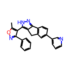 Cc1onc(-c2ccccc2)c1-c1[nH]nc2c1Cc1cc(-c3cccnc3)ccc1-2